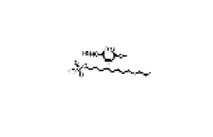 CCCCCCCCCCCCOS(=O)(=O)O.O=C(O)/C=C\C(=O)O.[NaH]